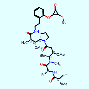 CCOC1C(=O)C1Oc1ccccc1CCNC(=O)[C@H](C)[C@@H](OC)[C@@H]1CCCN1C(=O)C[C@@H](OC)[C@H](C(C)CC)N(C)C(=O)[C@@H](NC(=O)[C@@H](NC)C(C)C)C(C)C